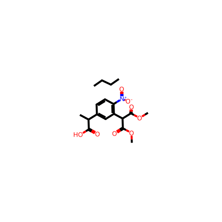 CCCC.COC(=O)C(C(=O)OC)c1cc(C(C)C(=O)O)ccc1[N+](=O)[O-]